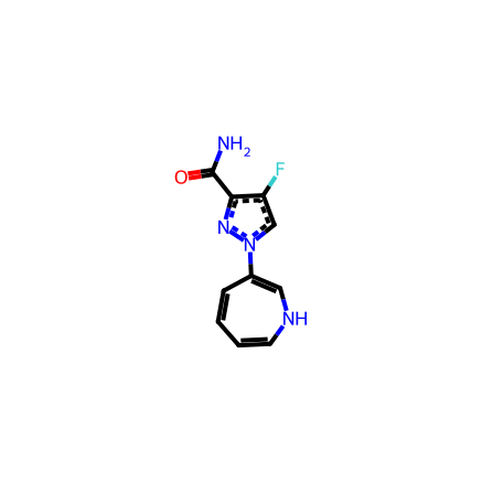 NC(=O)c1nn(C2=CNC=CC=C2)cc1F